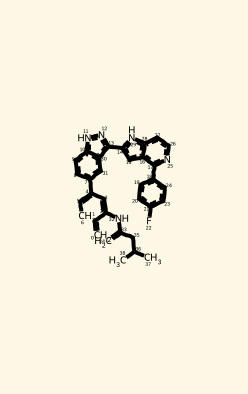 C=C/C(=C\C(=C/C)c1ccc2[nH]nc(-c3cc4c(-c5ccc(F)cc5)nccc4[nH]3)c2c1)NC(=C)CC(C)C